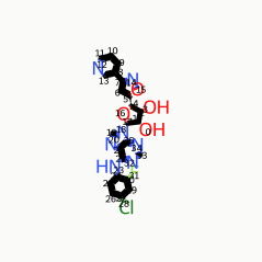 O[C@@H]1[C@H](O)[C@@H](c2cc(-c3cccnc3)no2)O[C@H]1n1cnc2c(Nc3ccc(Cl)cc3F)ncnc21